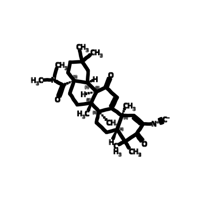 [C-]#[N+]C1=C[C@]2(C)C3=CC(=O)[C@@H]4[C@@H]5CC(C)(C)CC[C@]5(C(=O)N(C)C)CC[C@@]4(C)[C@]3(C)CC[C@H]2C(C)(C)C1=O